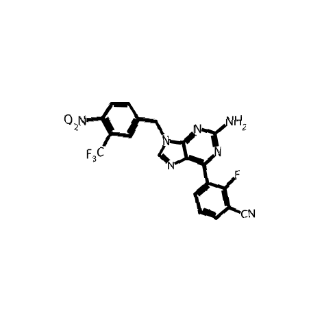 N#Cc1cccc(-c2nc(N)nc3c2ncn3Cc2ccc([N+](=O)[O-])c(C(F)(F)F)c2)c1F